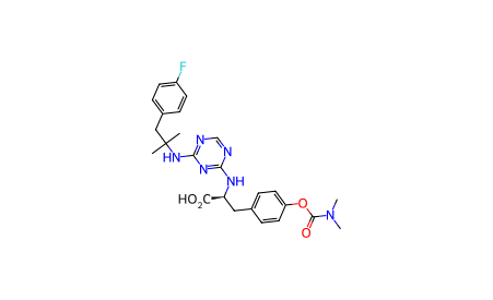 CN(C)C(=O)Oc1ccc(C[C@H](Nc2ncnc(NC(C)(C)Cc3ccc(F)cc3)n2)C(=O)O)cc1